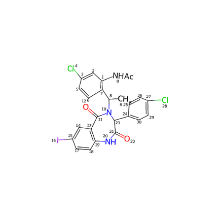 CC(=O)Nc1cc(Cl)ccc1C(C)N1C(=O)c2cc(I)ccc2NC(=O)C1c1ccc(Cl)cc1